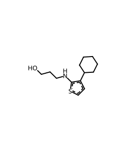 OCCCNc1sccc1C1CCCCC1